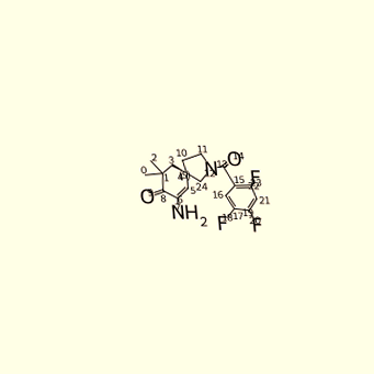 CC1(C)C[C@@]2(C=C(N)C1=O)CCN(C(=O)c1cc(F)c(F)cc1F)C2